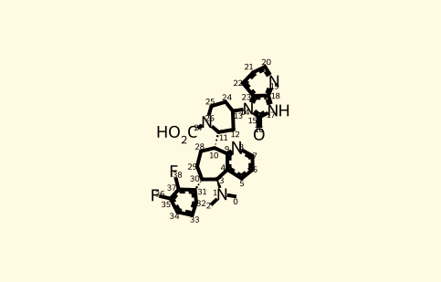 CN(C)[C@@H]1c2cccnc2[C@@H](C2CC(n3c(=O)[nH]c4ncccc43)CCN2C(=O)O)CC[C@H]1c1cccc(F)c1F